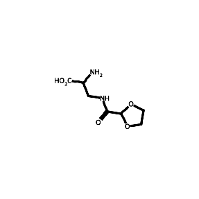 NC(CNC(=O)C1OCCO1)C(=O)O